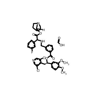 COc1ccc([C@@H](Cc2c(Cl)cncc2Cl)OC(=O)c2cccc(CNC(C(=O)O[C@H]3CN4CCC3CC4)c3cccc(F)c3)c2)cc1OC.O=CO